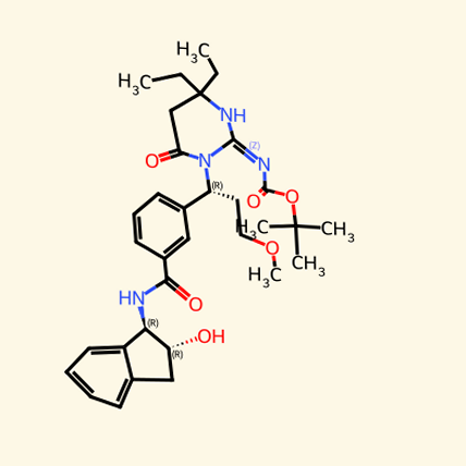 CCC1(CC)CC(=O)N([C@H](CCOC)c2cccc(C(=O)N[C@@H]3c4ccccc4C[C@H]3O)c2)/C(=N\C(=O)OC(C)(C)C)N1